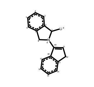 [Li][CH]1c2ccccc2CN1C1=CCc2ccccc21